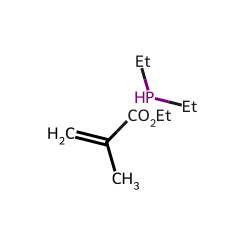 C=C(C)C(=O)OCC.CCPCC